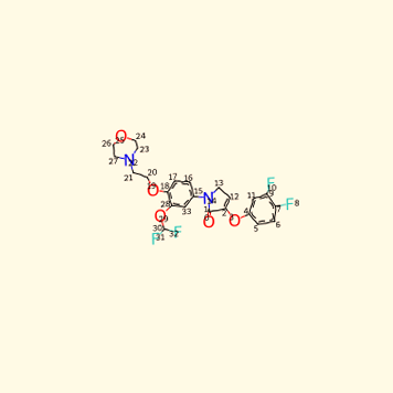 O=C1C(Oc2ccc(F)c(F)c2)=CCN1c1ccc(OCCN2CCOCC2)c(OC(F)F)c1